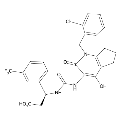 O=C(O)C[C@H](NC(=O)Nc1c(O)c2c(n(Cc3ccccc3Cl)c1=O)CCC2)c1cccc(C(F)(F)F)c1